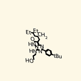 C=C(Cc1c(=O)[nH]n2c(NCCCO)nc(-c3ccc(C(C)(C)C)cc3)nc12)CC(CC)CC